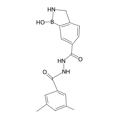 Cc1cc(C)cc(C(=O)NNC(=O)c2ccc3c(c2)B(O)NC3)c1